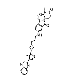 Cc1c(-c2cnc3ccccc3n2)cnn1[C@H]1C[C@H](CCCNc2ccc3c(c2)C(=O)N(C2CCC(=O)NC2=O)C3=O)C1